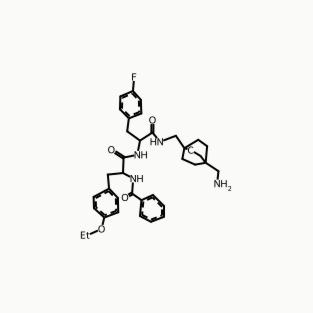 CCOc1ccc(CC(NC(=O)c2ccccc2)C(=O)NC(Cc2ccc(F)cc2)C(=O)NCC23CCC(CN)(CC2)CC3)cc1